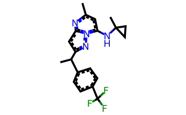 Cc1cc(NC2(C)CC2)n2nc(C(C)c3ccc(C(F)(F)F)cc3)cc2n1